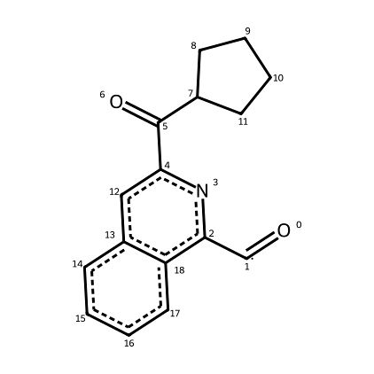 O=[C]c1nc(C(=O)C2CCCC2)cc2ccccc12